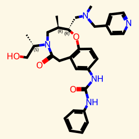 C[C@@H]1CN([C@@H](C)CO)C(=O)Cc2cc(NC(=O)Nc3ccccc3)ccc2O[C@H]1CN(C)Cc1ccncc1